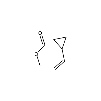 C=CC1CC1.COC=O